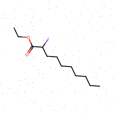 CCCCCCCCC(I)C(=O)OCC